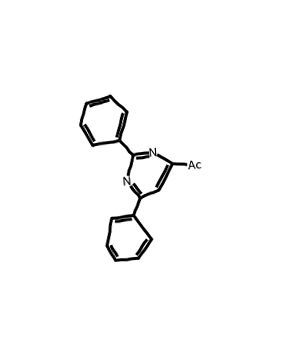 CC(=O)c1cc(-c2ccccc2)nc(-c2ccccc2)n1